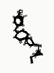 CC[C@@H]1C[C@H]1NC1COC2(CCN(Cc3ccc(Cl)cc3)CC2)C1